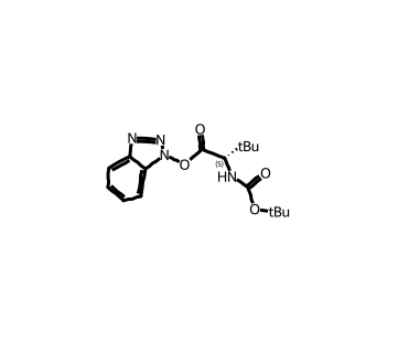 CC(C)(C)OC(=O)N[C@H](C(=O)On1nnc2ccccc21)C(C)(C)C